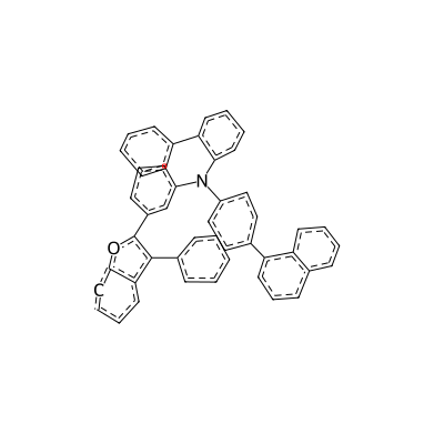 c1ccc(-c2ccccc2N(c2ccc(-c3cccc4ccccc34)cc2)c2cccc(-c3oc4ccccc4c3-c3ccccc3)c2)cc1